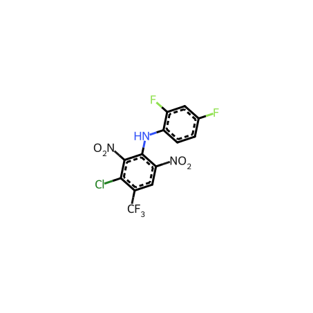 O=[N+]([O-])c1cc(C(F)(F)F)c(Cl)c([N+](=O)[O-])c1Nc1ccc(F)cc1F